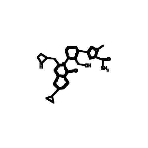 Cn1cc(-c2cccc(-n3c(CC4CCN4)cc4cc(C5CC5)ccc4c3=O)c2CO)cc1C(N)=O